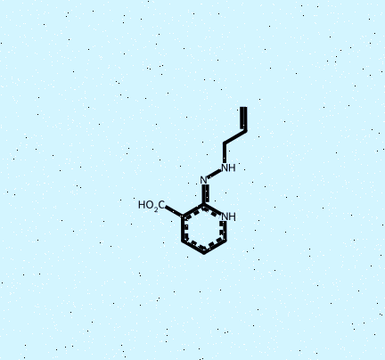 C=CCNN=c1[nH]cccc1C(=O)O